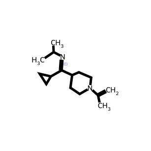 C=C(C)N1CCC(/C(=N/C(C)C)C2CC2)CC1